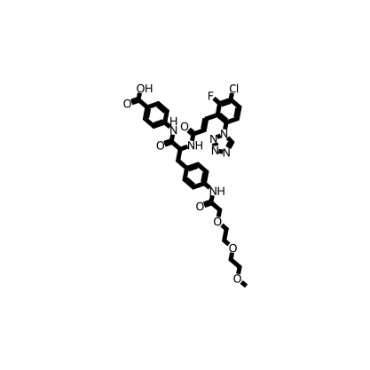 COCCOCCOCC(=O)Nc1ccc(CC(NC(=O)C=Cc2c(-n3cnnn3)ccc(Cl)c2F)C(=O)Nc2ccc(C(=O)O)cc2)cc1